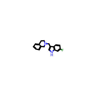 Fc1ccc2c(CN3CCc4ccccc4C3)c[nH]c2c1